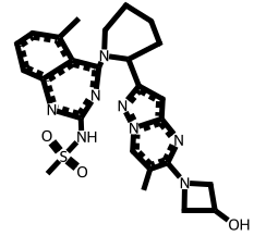 Cc1cn2nc(C3CCCCN3c3nc(NS(C)(=O)=O)nc4cccc(C)c34)cc2nc1N1CC(O)C1